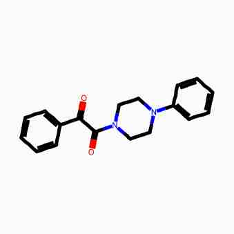 O=C(C(=O)N1CCN(c2ccccc2)CC1)c1ccccc1